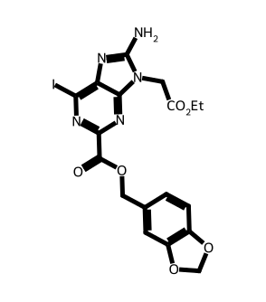 CCOC(=O)Cn1c(N)nc2c(I)nc(C(=O)OCc3ccc4c(c3)OCO4)nc21